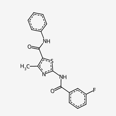 Cc1nc(NC(=O)c2cccc(F)c2)sc1C(=O)Nc1ccccc1